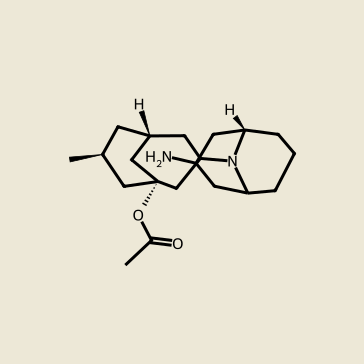 CC(=O)O[C@]12CC(N3C4CCC[C@H]3CC(N)C4)C[C@@H](C[C@H](C)C1)C2